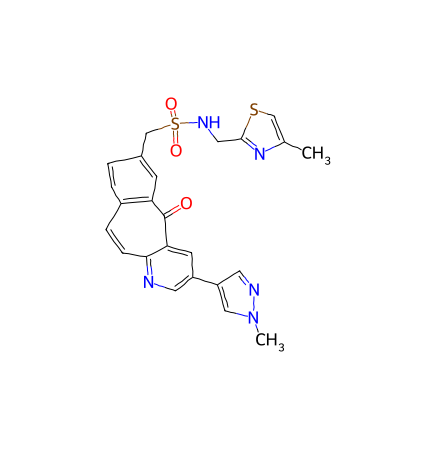 Cc1csc(CNS(=O)(=O)Cc2ccc3ccc4ncc(-c5cnn(C)c5)cc4c(=O)c3c2)n1